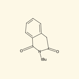 CC(C)(C)N1C(=O)Cc2ccccc2C1=O